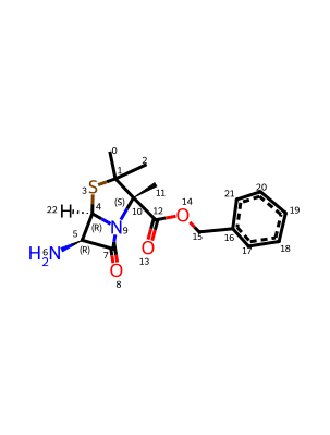 CC1(C)S[C@@H]2[C@H](N)C(=O)N2[C@@]1(C)C(=O)OCc1ccccc1